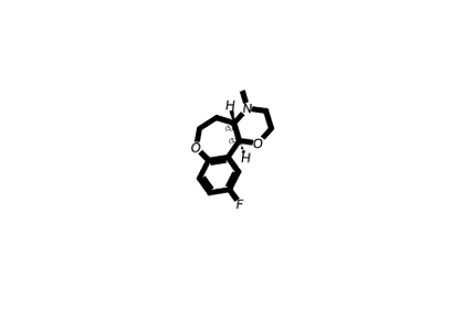 CN1CCO[C@H]2c3cc(F)ccc3OCC[C@@H]21